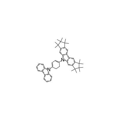 CC1(C)c2cc3c4cc5c(cc4n(C4=CC=C(n6c7ccccc7c7ccccc76)CC4)c3cc2C(C)(C)C1(C)C)C(C)(C)C(C)(C)C5(C)C